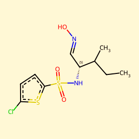 CCC(C)[C@@H](C=NO)NS(=O)(=O)c1ccc(Cl)s1